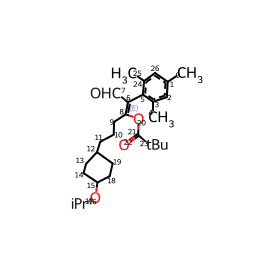 Cc1cc(C)c(/C(C=O)=C(/CCCC2CCC(OC(C)C)CC2)OC(=O)C(C)(C)C)c(C)c1